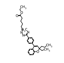 CCCC1(CC)C=C(c2ccc(C(/N=N\CCCCCC(=O)OCC)=N/C)cc2)c2ccccc2O1